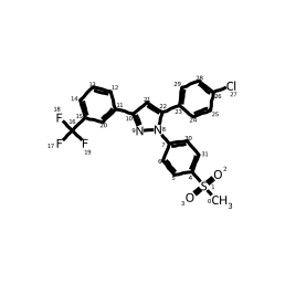 CS(=O)(=O)c1ccc(-n2nc(-c3cccc(C(F)(F)F)c3)cc2-c2ccc(Cl)cc2)cc1